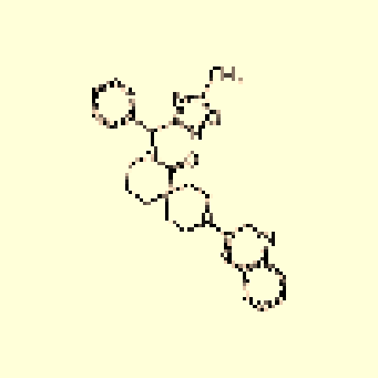 Cc1nc(C(c2ccccc2)N2CCCC3(CCN(c4cnc5ccccc5n4)CC3)C2=O)no1